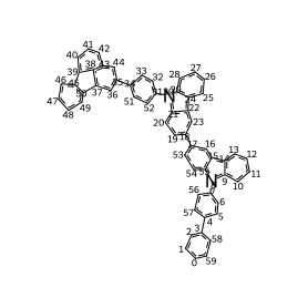 c1ccc(-c2ccc(-n3c4ccccc4c4cc(-c5ccc6c(c5)c5ccccc5n6-c5ccc(-c6cc7c8c(cccc8c6)-c6ccccc6-7)cc5)ccc43)cc2)cc1